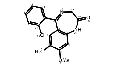 COc1cc2c(cc1C)C(c1ccccc1Cl)=NCC(=O)N2